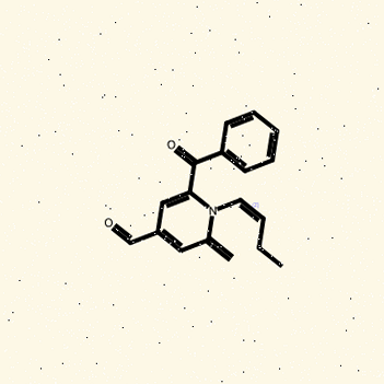 C=C1C=C(C=O)C=C(C(=O)c2ccccc2)N1/C=C\CC